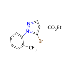 CCOC(=O)c1cnn(-c2ccccc2C(F)(F)F)c1Br